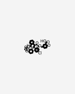 COc1ccc(CONC(=O)[C@@H]2c3ccccc3C(=O)N([C@H]3CCCC[C@@H]3NS(C)(=O)=O)[C@H]2c2ccc(Cl)cc2)cc1C(=O)O